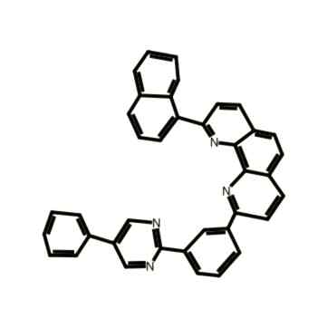 c1ccc(-c2cnc(-c3cccc(-c4ccc5ccc6ccc(-c7cccc8ccccc78)nc6c5n4)c3)nc2)cc1